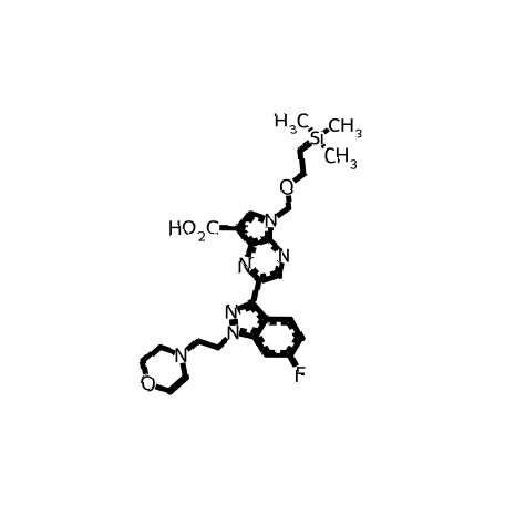 C[Si](C)(C)CCOCn1cc(C(=O)O)c2nc(-c3nn(CCN4CCOCC4)c4cc(F)ccc34)cnc21